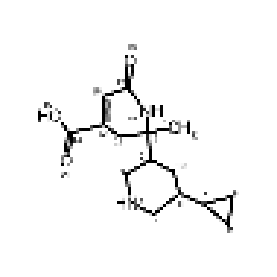 CC1(C2CNCC(C3CC3)C2)CC(C(=O)O)=CC(=O)N1